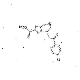 COC(=O)c1cc2c(CC(=O)c3ccc(Cl)cc3)cncc2s1